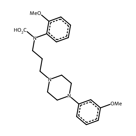 COc1cccc(N2CCN(CCCN(C(=O)O)c3ccccc3OC)CC2)c1